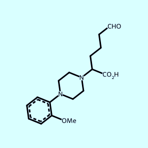 COc1ccccc1N1CCN(C(CCCC=O)C(=O)O)CC1